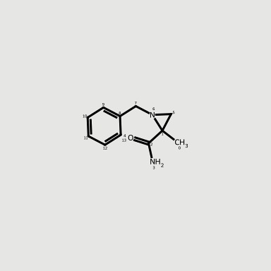 CC1(C(N)=O)CN1Cc1ccccc1